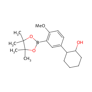 COc1ccc(C2CCCCC2O)cc1B1OC(C)(C)C(C)(C)O1